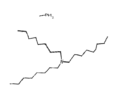 CCCCCCCCN(CCCCCCCC)CCCCCCCC.CP